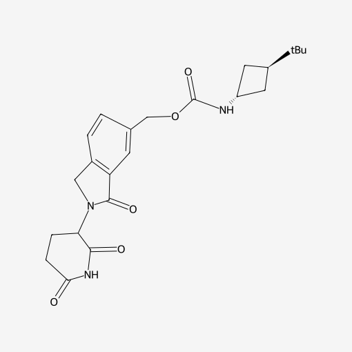 CC(C)(C)[C@H]1C[C@H](NC(=O)OCc2ccc3c(c2)C(=O)N(C2CCC(=O)NC2=O)C3)C1